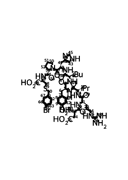 CC[C@H](C)[C@H](NC(=O)[C@H](Cc1ccc(O)cc1)NC(=O)[C@@H](NC(=O)[C@H](CCCNC(=N)N)NC(=O)[C@@H](N)CC(=O)O)C(C)C)C(=O)N[C@@H](Cc1c[nH]cn1)C(=O)N1CCC[C@H]1C(=O)N[C@@H](CSCc1ccc(Br)cc1)C(=O)O